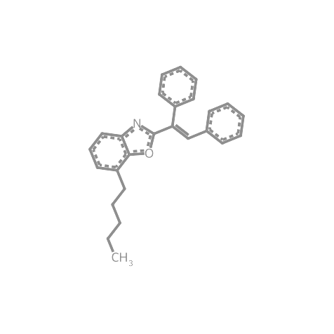 CCCCCc1cccc2nc(C(=Cc3ccccc3)c3ccccc3)oc12